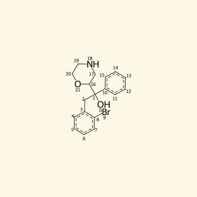 OC(Cc1ccccc1Br)(c1ccccc1)C1CNCCO1